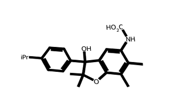 Cc1c(NC(=O)O)cc2c(c1C)OC(C)(C)C2(O)c1ccc(C(C)C)cc1